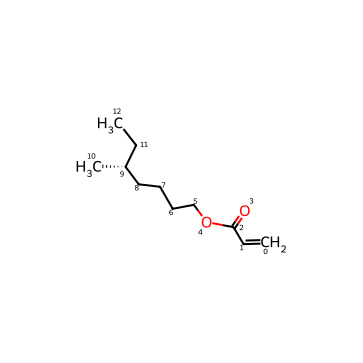 C=CC(=O)OCCCC[C@H](C)CC